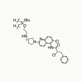 CC(C)(C)[Si](C)(C)OCCN[C@H]1CCN(c2ccc3c(NC(=O)C(Cl)Cc4ccccc4)c(Cl)ccc3n2)C1